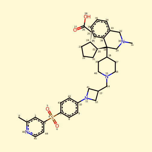 Cc1cc(S(=O)(=O)c2ccc(N3CC(CN4CCC(C5([C@H]6CCC[C@@H]6CC(=O)O)CN(C)Cc6ccccc65)CC4)C3)cc2)ccn1